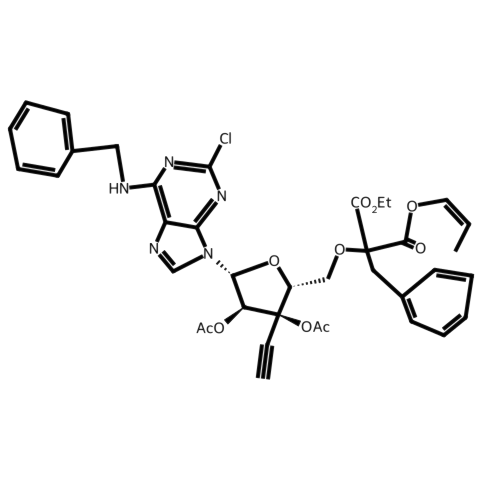 C#C[C@@]1(OC(C)=O)[C@@H](COC(Cc2ccccc2)(C(=O)O/C=C\C)C(=O)OCC)O[C@@H](n2cnc3c(NCc4ccccc4)nc(Cl)nc32)[C@@H]1OC(C)=O